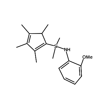 COc1ccccc1N[Si](C)(C)C1=C(C)C(C)=C(C)C1C